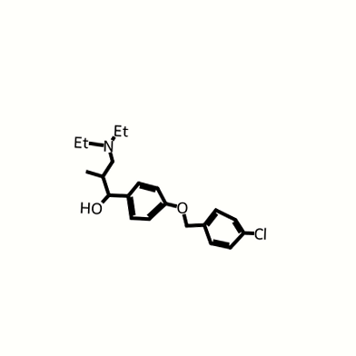 CCN(CC)CC(C)C(O)c1ccc(OCc2ccc(Cl)cc2)cc1